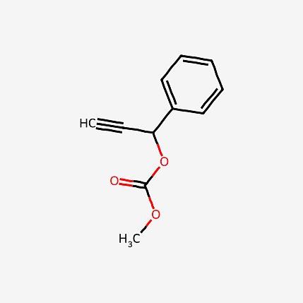 C#CC(OC(=O)OC)c1ccccc1